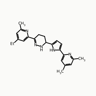 CCc1cc(C)nc(C2=NNC(c3ccc(-c4cc(C)cc(C)n4)[nH]3)CC2)c1